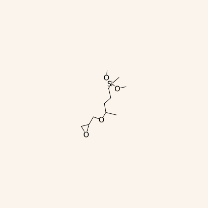 CO[Si](C)(CCCC(C)OCC1CO1)OC